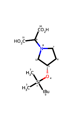 CC(C)(C)[Si](C)(C)O[C@H]1CCN(C(C(=O)O)C(=O)O)C1